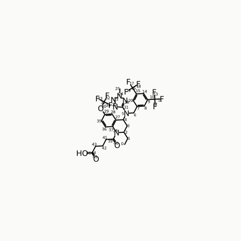 CCC1CC(N(Cc2cc(C(F)(F)F)cc(C(F)(F)F)c2)c2nnn(C)n2)c2cc(OC(F)(F)F)ccc2N1C(=O)CCCC(=O)O